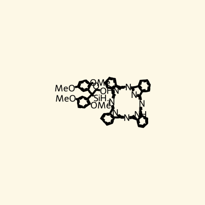 COc1ccc(OC)c(C([SiH3])(C(=O)Oc2cccc3c4nc5nc(nc6[nH]c(nc7nc(nc([nH]4)c23)-c2ccccc2-7)c2ccccc62)-c2ccccc2-5)c2cc(OC)ccc2OC)c1